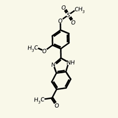 COc1cc(OS(C)(=O)=O)ccc1-c1nc2cc(C(C)=O)ccc2[nH]1